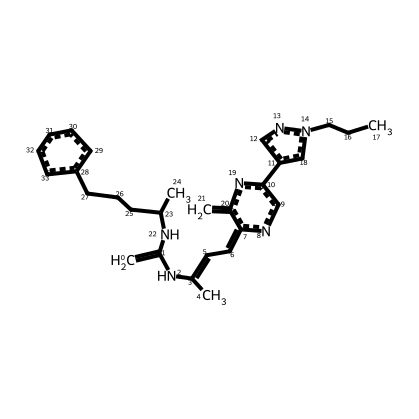 C=C(N/C(C)=C/C=c1/ncc(-c2cnn(CCC)c2)nc1=C)NC(C)CCCc1ccccc1